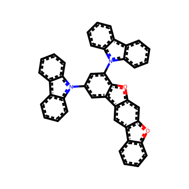 c1ccc2c(c1)oc1cc3oc4c(-n5c6ccccc6c6ccccc65)cc(-n5c6ccccc6c6ccccc65)cc4c3cc12